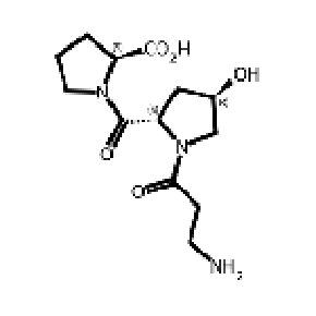 NCCC(=O)N1C[C@H](O)C[C@H]1C(=O)N1CCC[C@H]1C(=O)O